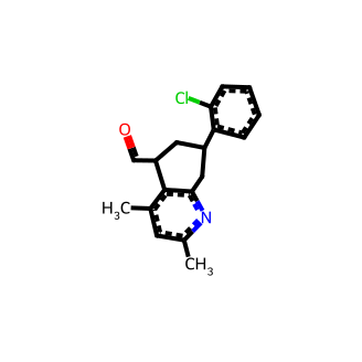 Cc1cc(C)c2c(n1)CC(c1ccccc1Cl)CC2C=O